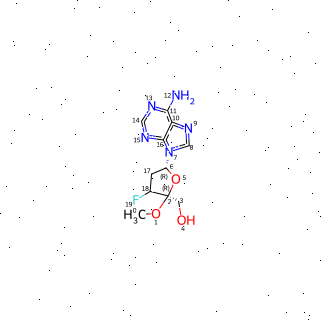 CO[C@]1(CO)O[C@@H](n2cnc3c(N)ncnc32)CC1F